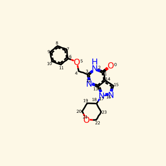 O=c1[nH]c(COc2ccccc2)nc2c1cnn2C1CCOCC1